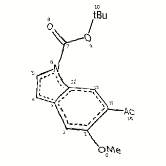 COc1cc2ccn(C(=O)OC(C)(C)C)c2cc1C(C)=O